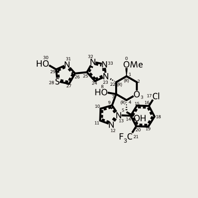 CO[C@H]1CO[C@H](CO)C(O)(c2ccnn2-c2cc(Cl)ccc2C(F)(F)F)[C@@H]1n1cc(-c2csc(O)n2)nn1